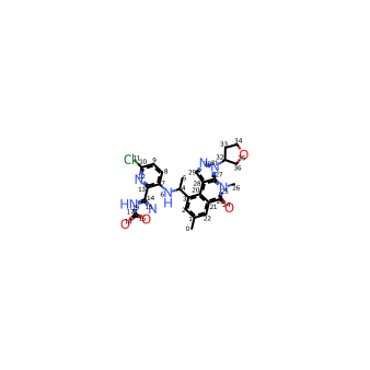 Cc1cc(C(C)Nc2ccc(Cl)nc2-c2noc(=O)[nH]2)c2c(c1)c(=O)n(C)c1c2cnn1C1CCOC1